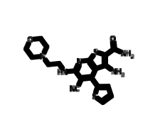 N#Cc1c(NCCN2CCOCC2)nc2sc(C(N)=O)c(N)c2c1-c1cccs1